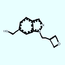 OCc1ccc2cnn(CC3COC3)c2c1